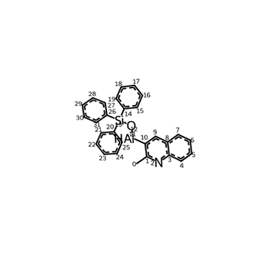 Cc1nc2ccccc2c[c]1[AlH][O][Si](c1ccccc1)(c1ccccc1)c1ccccc1